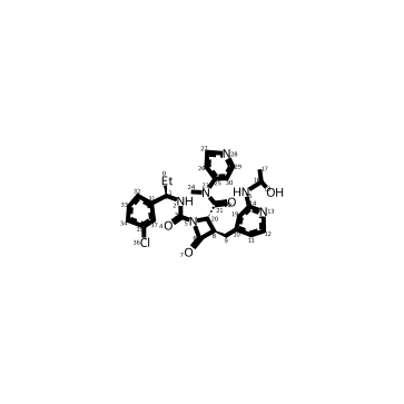 CC[C@@H](NC(=O)N1C(=O)[C@H](Cc2ccnc(NC(C)O)c2)[C@H]1C(=O)N(C)c1ccncc1)c1cccc(Cl)c1